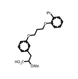 COC(Cc1cccc(OCCCOc2ccccc2C(C)C)c1)C(=O)O